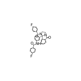 O=C(Nc1cccc(C23c4ccccc4C(=O)N2CCN3C(=O)c2ccc(F)cc2)c1)c1ccc(F)cc1